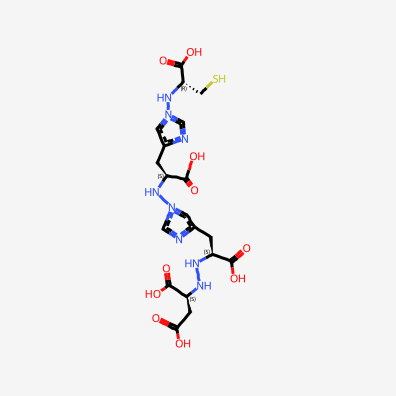 O=C(O)C[C@H](NN[C@@H](Cc1cn(N[C@@H](Cc2cn(N[C@@H](CS)C(=O)O)cn2)C(=O)O)cn1)C(=O)O)C(=O)O